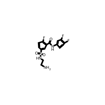 NCCNS(=O)(=O)c1ccc(F)c(C(=O)Nc2ccc(F)c(F)c2)c1